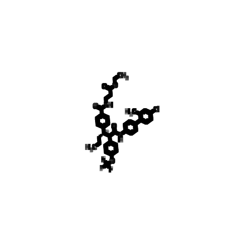 CCC[C@H](c1ccc(C(=O)NCCC(=O)OCC)cc1)C(C(=O)Nc1ccc(-c2ccc(Cl)cc2C)cc1)c1ccc(OC(F)(F)F)cc1